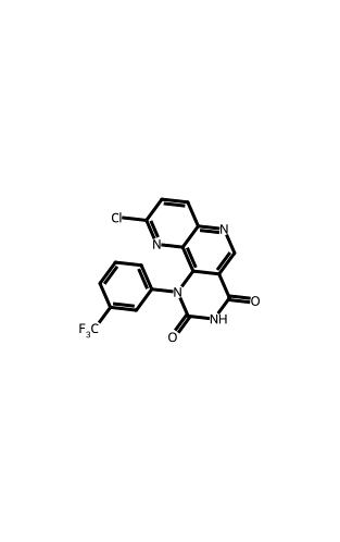 O=c1[nH]c(=O)n(-c2cccc(C(F)(F)F)c2)c2c1cnc1ccc(Cl)nc12